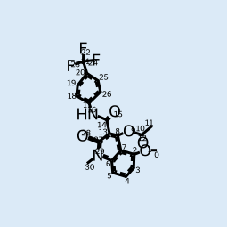 COc1cccc2c1c(OC(C)=O)c(C(=O)Nc1ccc(C(F)(F)F)cc1)c(=O)n2C